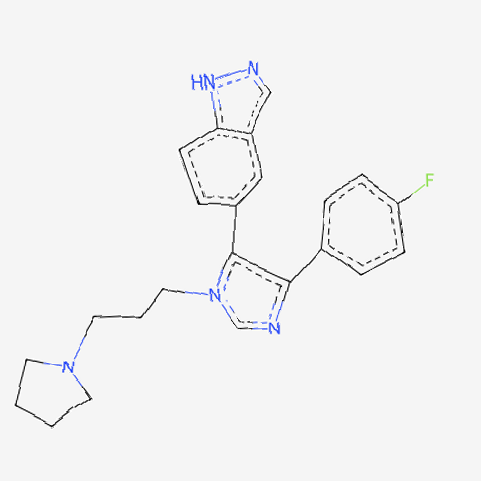 Fc1ccc(-c2ncn(CCCN3CCCC3)c2-c2ccc3[nH]ncc3c2)cc1